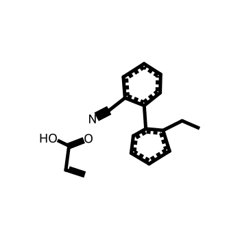 C=CC(=O)O.CCc1ccccc1-c1ccccc1C#N